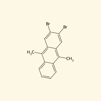 Cc1c2ccccc2c(C)c2cc(Br)c(Br)cc12